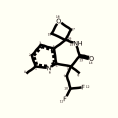 Cc1ccc2c(n1)C(C)(CC(F)F)C(=O)NC21COC1